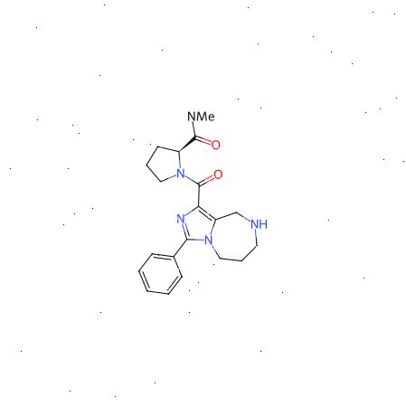 CNC(=O)[C@@H]1CCCN1C(=O)c1nc(-c2ccccc2)n2c1CNCCC2